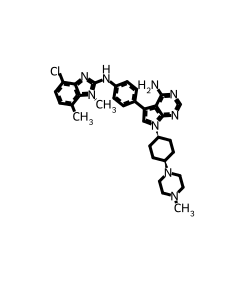 Cc1ccc(Cl)c2nc(Nc3ccc(-c4cn([C@H]5CC[C@H](N6CCN(C)CC6)CC5)c5ncnc(N)c45)cc3)n(C)c12